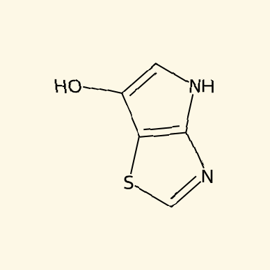 Oc1c[nH]c2ncsc12